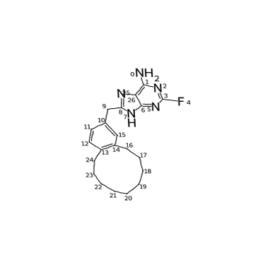 Nc1nc(F)nc2[nH]c(Cc3ccc4c(c3)CCCCCCCCC4)nc12